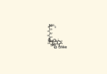 COc1cccc(OC)c1C(=O)N1CCC(CCCCCCCN)C1